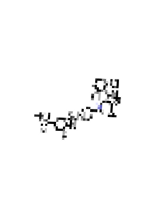 C/C(=C\c1c(-c2c(Cl)cccc2Cl)noc1C1CC1)C1CCN(c2nc3c(F)cc(C(=O)O)cc3s2)CC1